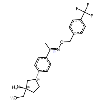 C/C(=N\OCc1ccc(C(F)(F)F)cc1)c1ccc([C@@H]2CC[C@](N)(CO)C2)cc1